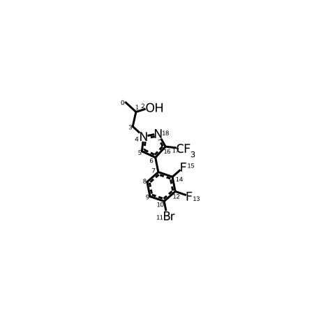 CC(O)Cn1cc(-c2ccc(Br)c(F)c2F)c(C(F)(F)F)n1